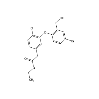 CCOC(=O)Cc1ccc(Cl)c(Oc2ccc(Br)cc2CO)c1